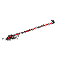 CCC1=CC(C)(C)N(CC)c2cc3c(cc21)C(c1nccn1CC(=O)NCCOCCOCCOCCOCCOCCOCCOCCOCCOCCOCCOCCOCCOCCOCCOCCOCCOCCOCCOCCOCCOCCOCCOCCOCCC(=O)ON1C(=O)CCC1=O)=c1cc2c(cc1O3)=[N+](CC)C(C)(C)C=C2CS(=O)(=O)O